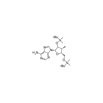 C[C@@H]1C(O[Si](C)(C)C(C)(C)C)[C@H](n2cnc3c(N)ncnc32)O[C@@H]1CO[Si](C)(C)C(C)(C)C